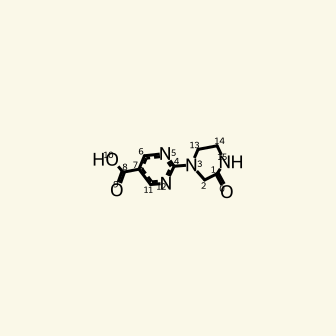 O=C1CN(c2ncc(C(=O)O)cn2)CCN1